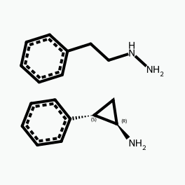 NNCCc1ccccc1.N[C@@H]1C[C@H]1c1ccccc1